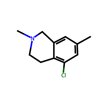 Cc1cc(Cl)c2c(c1)CN(C)CC2